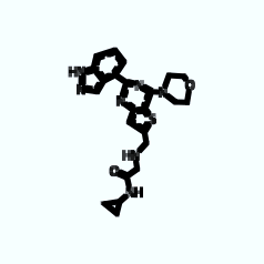 O=C(CNCc1cc2nc(-c3cccc4[nH]ncc34)nc(N3CCOCC3)c2s1)NC1CC1